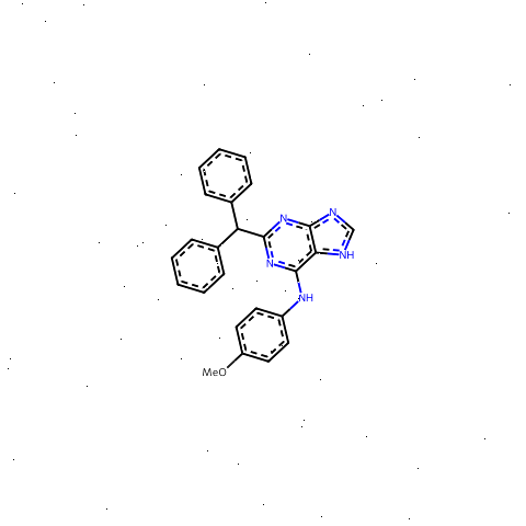 COc1ccc(Nc2nc(C(c3ccccc3)c3ccccc3)nc3nc[nH]c23)cc1